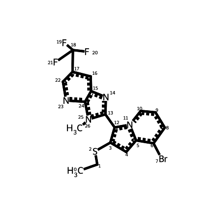 CCSc1cc2c(Br)cccn2c1-c1nc2cc(C(F)(F)F)cnc2n1C